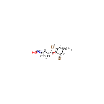 CCOC(=O)/C(CCCOc1c(Br)cc(C)cc1Br)=N\O